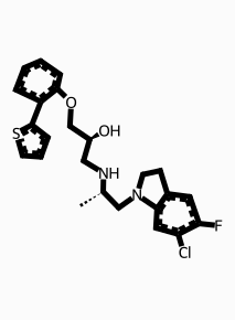 C[C@@H](CN1CCc2cc(F)c(Cl)cc21)NC[C@H](O)COc1ccccc1-c1cccs1